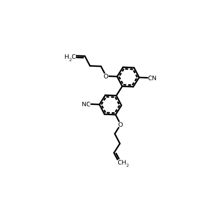 C=CCCOc1cc(C#N)cc(-c2cc(C#N)ccc2OCCC=C)c1